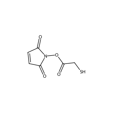 O=C(CS)ON1C(=O)C=CC1=O